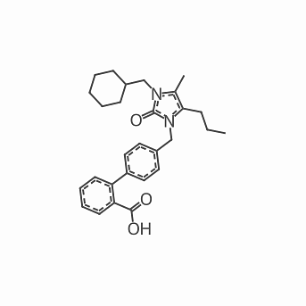 CCCc1c(C)n(CC2CCCCC2)c(=O)n1Cc1ccc(-c2ccccc2C(=O)O)cc1